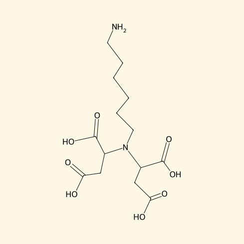 NCCCCCCN(C(CC(=O)O)C(=O)O)C(CC(=O)O)C(=O)O